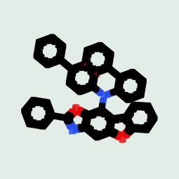 c1ccc(-c2ccc(N(c3ccccc3-c3ccccc3)c3c4oc(-c5ccccc5)nc4cc4oc5ccccc5c34)cc2)cc1